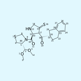 COC(OC)[C@@H]1CSCN1C(=O)[C@H]1NCC(=S)C1C(=O)[C@H]1CCc2ccccc2C1